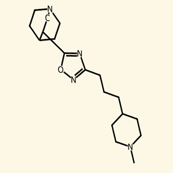 CN1CCC(CCCc2noc(C3CN4CCC3CC4)n2)CC1